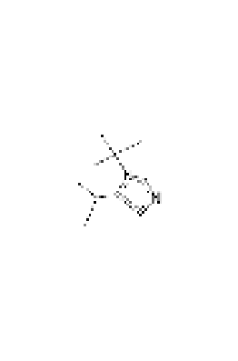 CC(C)c1cncn1C(C)(C)C